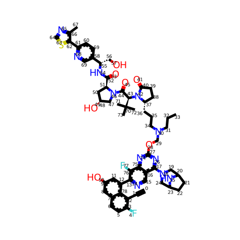 C#Cc1c(F)ccc2cc(O)cc(-c3ncc4c(N5CC6CCC(C5)N6)nc(OCN(CCC)CCC[C@H]5CCC(=O)N5[C@H](C(=O)N5C[C@H](O)C[C@H]5C(=O)N[C@@H](CO)c5ccc(-c6scnc6C)nc5)C(C)(C)C)nc4c3F)c12